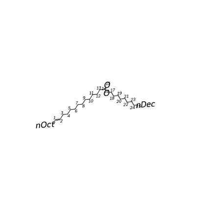 CCCCCCCCC=CCCCCCCCCCCCC(=O)OCCCCCCCCCCCCCCCCCC